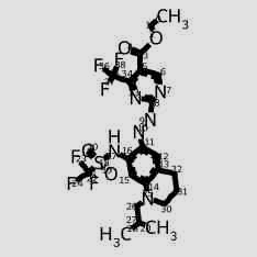 CCOC(=O)c1cnc(N=Nc2cc3c(cc2NS(=O)(=O)C(F)(F)F)N(CC(C)C)CCC3)nc1C(F)(F)F